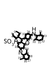 C/C=C(\C(=C/C)S(=O)(=O)O)c1c2cc/c(=N/c3c(C)cccc3C)cc-2oc2cc(Nc3c(C)cccc3C)ccc12